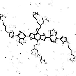 CCCCCCc1ccc(-c2ncc(-c3cc4c(OCC(CC)CCCC)c5sc(-c6cnc(-c7ccc(CCCCCC)s7)c7nsnc67)cc5c(OCC(CC)CCCC)c4s3)c3nsnc23)s1